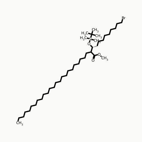 CCCCCCCCCCCCCCCCCCCCCCCCC(C(=O)OC)[C@@H](CCCCCCCCCBr)O[Si](C)(C)C(C)(C)C